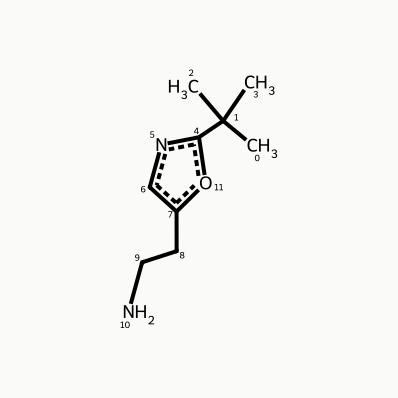 CC(C)(C)c1ncc(CCN)o1